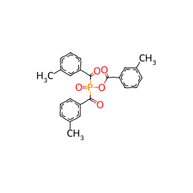 Cc1cccc(C(=O)OP(=O)(C(=O)c2cccc(C)c2)C(=O)c2cccc(C)c2)c1